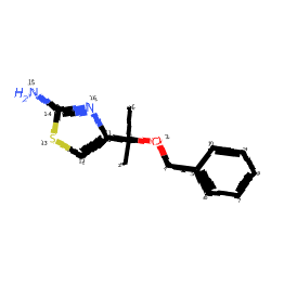 CC(C)(OCc1ccccc1)c1csc(N)n1